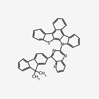 CC1(C)c2ccccc2-c2ccc(-c3nc(-n4c5ccccc5c5c6ccccc6c6c7ccccc7sc6c54)nc4cccnc34)cc21